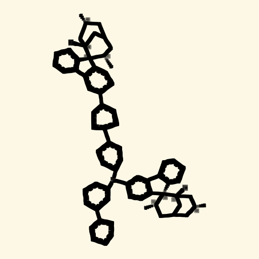 C[C@@H]1CC2C[C@@H](C1)[C@@]1(c3ccccc3-c3cc(N(c4ccc(-c5ccc(-c6ccc7c(c6)-c6ccccc6[C@]76[C@H]7CC(C[C@@H](C)C7)C[C@@H]6C)cc5)cc4)c4cccc(-c5ccccc5)c4)ccc31)[C@@H](C)C2